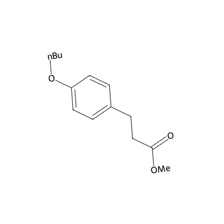 CCCCOc1ccc(CCC(=O)OC)cc1